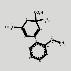 CC1(C(=O)O)C=CC=C(C(=O)O)C1.NNc1ccccc1